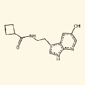 O=C(NCCc1c[nH]c2ncc(O)cc12)C1CCC1